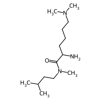 CC(C)CCN(C)C(=O)C(N)CCCCN(C)C